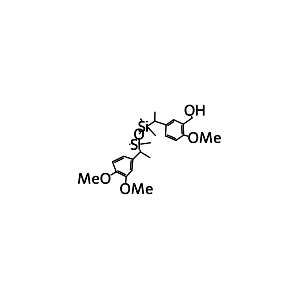 COc1ccc(C(C)[Si](C)(C)O[Si](C)(C)C(C)c2ccc(OC)c(OC)c2)cc1CO